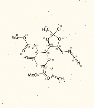 C=CC[C@]1(C(=O)OC)CC(=O)C(NC(=O)OC(C)(C)C)[C@H]([C@H]2OC(C)(C)O[C@H]2CN=[N+]=[N-])O1